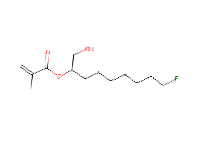 C=C(C)C(=O)OC(CO)CCCCCCCF